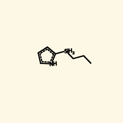 CCC[SiH2]c1ccc[nH]1